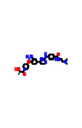 C[C@H](O)C(=O)N1CCC(Oc2ccc(-c3ccnc(Nc4ccc(C(=O)NCCN(C)C)cc4)n3)cc2N)CC1